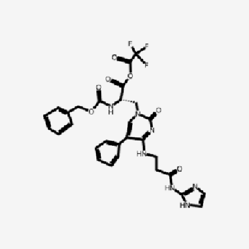 O=C(CCNc1nc(=O)n(C[C@H](NC(=O)OCc2ccccc2)C(=O)OC(=O)C(F)(F)F)cc1-c1ccccc1)Nc1ncc[nH]1